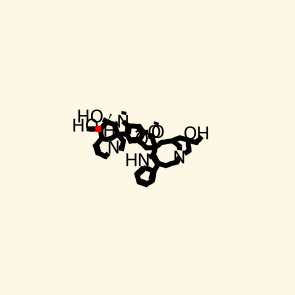 CCC1(O)CC2CN(CCc3c([nH]c4ccccc34)C(Cc3cc4c(cc3OC)N(C)C3C45CCN4CC=C[C@](CC)([C@H]45)[C@@H](O)[C@@]3(C)O)(C(=O)OC)C2)C1